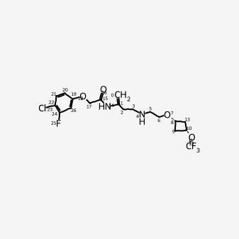 C=C(CCNCCO[C@H]1C[C@@H](OC(F)(F)F)C1)NC(=O)COc1ccc(Cl)c(F)c1